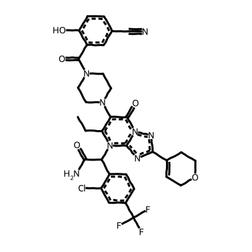 CCc1c(N2CCN(C(=O)c3cc(C#N)ccc3O)CC2)c(=O)n2nc(C3=CCOCC3)nc2n1C(C(N)=O)c1ccc(C(F)(F)F)cc1Cl